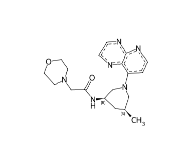 C[C@H]1C[C@@H](NC(=O)CN2CCOCC2)CN(c2ccnc3nccnc23)C1